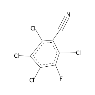 N#Cc1c(Cl)c(F)c(Cl)c(Cl)c1Cl